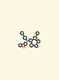 c1ccc(-c2ccc(N(c3ccc4oc5ccccc5c4c3)c3ccc4c(c3)c3ccccc3c3ccccc3c3ccccc3c3cc5c(cc43)sc3ccccc35)cc2)cc1